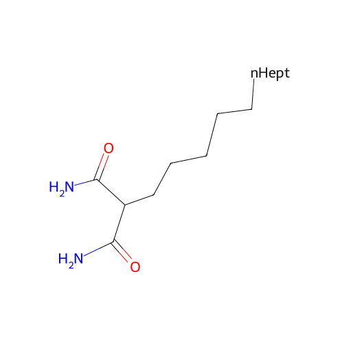 CCCCCCCCCCCCC(C(N)=O)C(N)=O